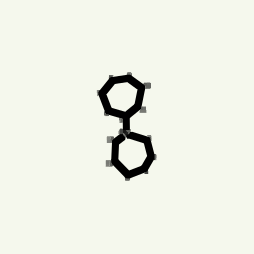 [CH]1CCCN(C2CCCCCC2)CC1